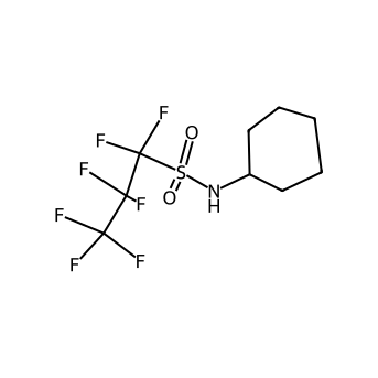 O=S(=O)(NC1CCCCC1)C(F)(F)C(F)(F)C(F)(F)F